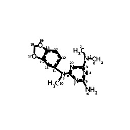 CN(C)c1nc(N)nc(N(C)c2ccc3c(c2)OCO3)n1